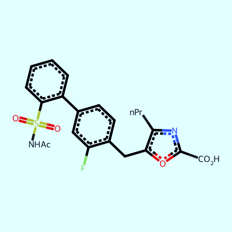 CCCc1nc(C(=O)O)oc1Cc1ccc(-c2ccccc2S(=O)(=O)NC(C)=O)cc1F